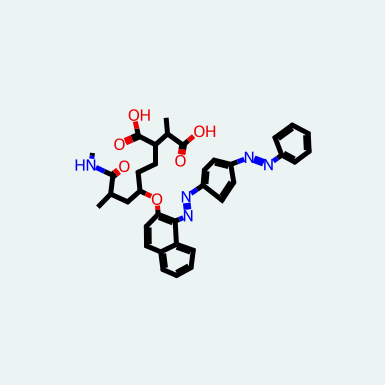 CNC(=O)C(C)CC(CCC(C(=O)O)C(C)C(=O)O)Oc1ccc2ccccc2c1N=Nc1ccc(N=Nc2ccccc2)cc1